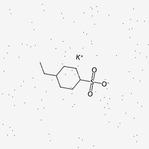 CCC1CCC(S(=O)(=O)[O-])CC1.[K+]